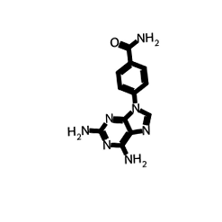 NC(=O)c1ccc(-n2cnc3c(N)nc(N)nc32)cc1